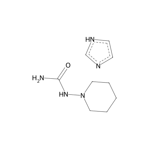 NC(=O)NN1CCCCC1.c1c[nH]cn1